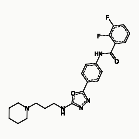 O=C(Nc1ccc(-c2nnc(NCCCN3CCCCC3)o2)cc1)c1cccc(F)c1F